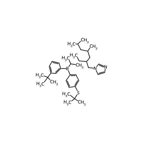 CC(C)B(c1ccc(SC(C)(C)C)cc1)c1cccc(C(C)(C)C)c1.CCC(CC(C)CC(C)C)Cn1ccnc1